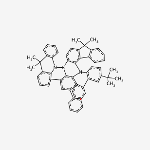 CC(C)(C)c1ccc(N2c3cc(-c4ccccc4)cc4c3B(c3ccc5c(c32)-c2ccccc2C5(C)C)N2c3ccccc3C(C)(C)c3cccc-4c32)c(-c2ccccc2)c1